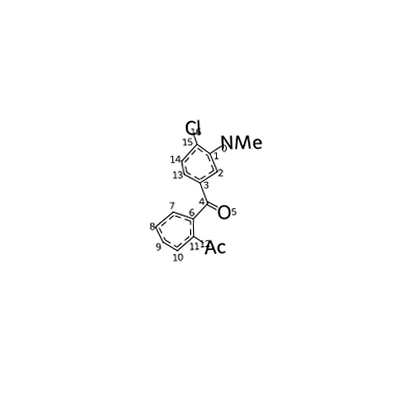 CNc1cc(C(=O)c2ccccc2C(C)=O)ccc1Cl